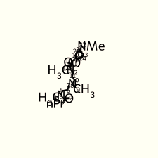 CCCC(=O)N(C)CCCN(C)CCCN(C)C(=O)Oc1ccc(NC)cc1